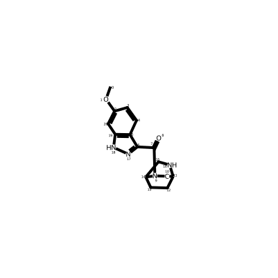 COc1ccc2c(C(=O)N3CC4CCC3CN4)n[nH]c2c1